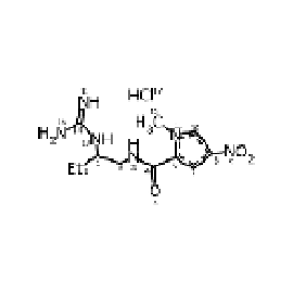 CCC(CNC(=O)c1cc([N+](=O)[O-])cn1C)NC(=N)N.Cl